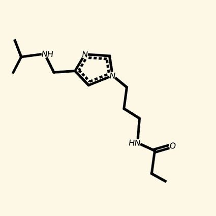 CCC(=O)NCCCn1cnc(CNC(C)C)c1